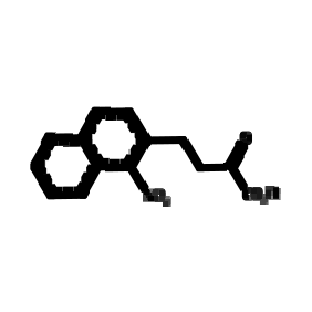 CCOC(=O)C(=O)CCc1ccc2ccccc2c1[N+](=O)[O-]